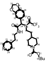 CC(C)(C)OC(=O)N1CCC(CCN(C(=O)C(F)(F)F)C(C(=O)NCCc2ccncc2)c2ccc3c(c2)OCO3)CC1